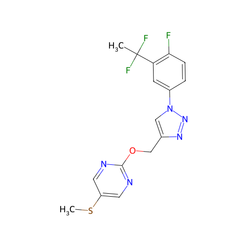 CSc1cnc(OCc2cn(-c3ccc(F)c(C(C)(F)F)c3)nn2)nc1